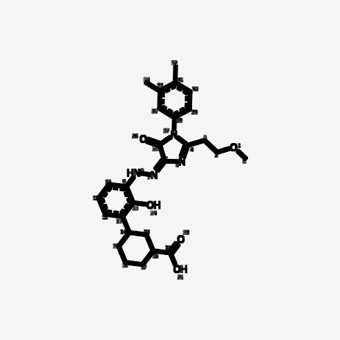 COCCC1=N/C(=N/Nc2cccc(C3CCCC(C(=O)O)C3)c2O)C(=O)N1c1ccc(C)c(C)c1